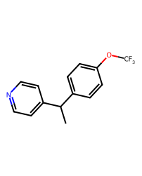 CC(c1ccncc1)c1ccc(OC(F)(F)F)cc1